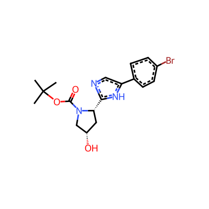 CC(C)(C)OC(=O)N1C[C@@H](O)C[C@H]1c1ncc(-c2ccc(Br)cc2)[nH]1